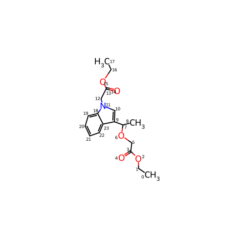 CCOC(=O)COC(C)c1cn(CC(=O)OCC)c2ccccc12